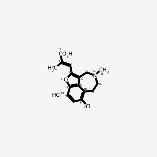 CC(=Cc1oc2ccc(Cl)c3c2c1CN(C)CC3)C(=O)O.Cl